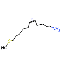 N#CSCCCCC/C=C\CCCCN